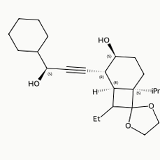 CCC1[C@H]2[C@H](C#C[C@@H](O)C3CCCCC3)[C@@H](O)CC[C@@]2(C(C)C)C12OCCO2